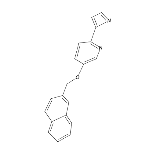 C1=NC(c2ccc(OCc3ccc4ccccc4c3)cn2)=C1